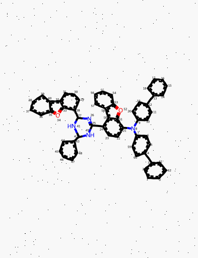 c1ccc(-c2ccc(N(c3ccc(-c4ccccc4)cc3)c3ccc(C4=NC(c5cccc6c5oc5ccccc56)NC(c5ccccc5)N4)c4c3oc3ccccc34)cc2)cc1